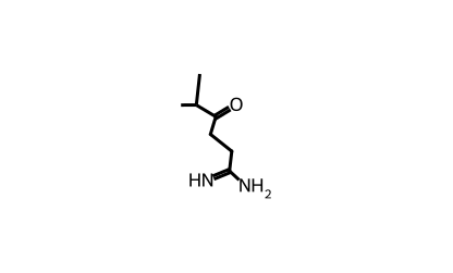 CC(C)C(=O)CCC(=N)N